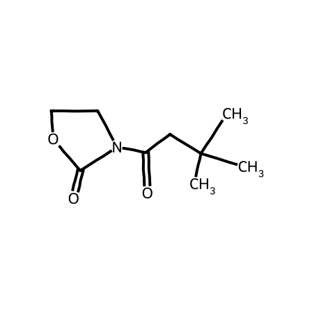 CC(C)(C)CC(=O)N1CCOC1=O